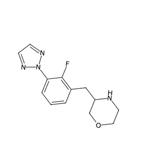 Fc1c(CC2COCCN2)cccc1-n1nccn1